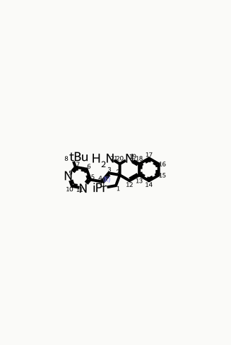 CC(C)CC1(/C=C/c2cc(C(C)(C)C)ncn2)C=c2ccccc2=NC1N